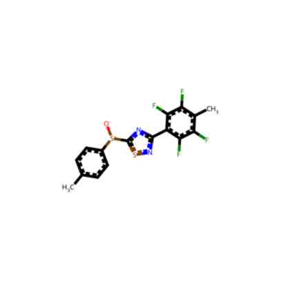 Cc1ccc([S+]([O-])c2nc(-c3c(F)c(F)c(C)c(F)c3F)ns2)cc1